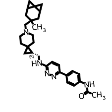 CC(=O)Nc1ccc(-c2ccc(NC[C@@H]3CC34CCN(CC3(C)CC5CC56CC6C3)CC4)nn2)cc1